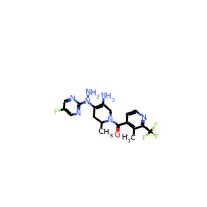 Cc1c(C(=O)N2CC(N)=C(N(N)c3ncc(F)cn3)CC2C)ccnc1C(F)(F)F